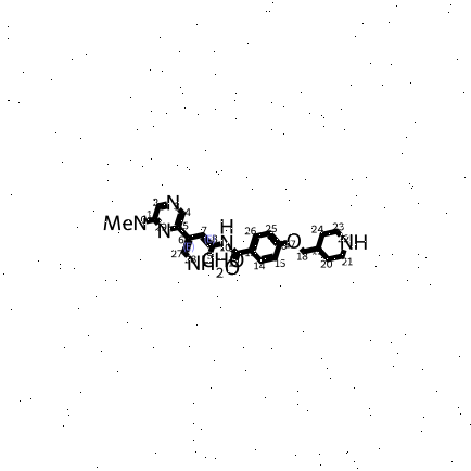 CNc1cncc(C(/C=C(\C=O)NC(=O)c2ccc(OCC3CCNCC3)cc2)=C/N)n1